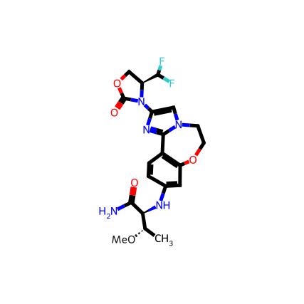 CO[C@@H](C)[C@H](Nc1ccc2c(c1)OCCn1cc(N3C(=O)OC[C@H]3C(F)F)nc1-2)C(N)=O